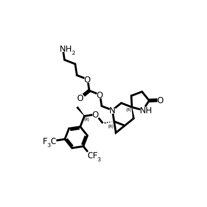 C[C@@H](OC[C@@]12CC1C[C@]1(CCC(=O)N1)CN2COC(=O)OCCCN)c1cc(C(F)(F)F)cc(C(F)(F)F)c1